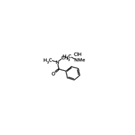 CN(C)C(=O)c1ccccc1.CNC.Cl